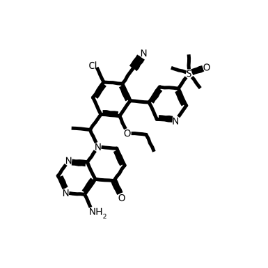 CCOc1c(C(C)n2ccc(=O)c3c(N)ncnc32)cc(Cl)c(C#N)c1-c1cncc(S(C)(C)(C)=O)c1